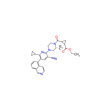 CCOC(=O)C1CC1C(=O)N1CCN(c2nc(C3CC3)c(-c3cccc4cnccc34)cc2C#N)C[C@H]1C